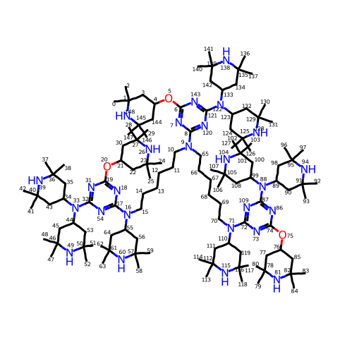 CC1(C)CC(Oc2nc(N(CCCCCCN(c3nc(OC4CC(C)(C)NC(C)(C)C4)nc(N(C4CC(C)(C)NC(C)(C)C4)C4CC(C)(C)NC(C)(C)C4)n3)C3CC(C)(C)NC(C)(C)C3)CCCCCCN(c3nc(OC4CC(C)(C)NC(C)(C)C4)nc(N(C4CC(C)(C)NC(C)(C)C4)C4CC(C)(C)NC(C)(C)C4)n3)C3CC(C)(C)NC(C)(C)C3)nc(N(C3CC(C)(C)NC(C)(C)C3)C3CC(C)(C)NC(C)(C)C3)n2)CC(C)(C)N1